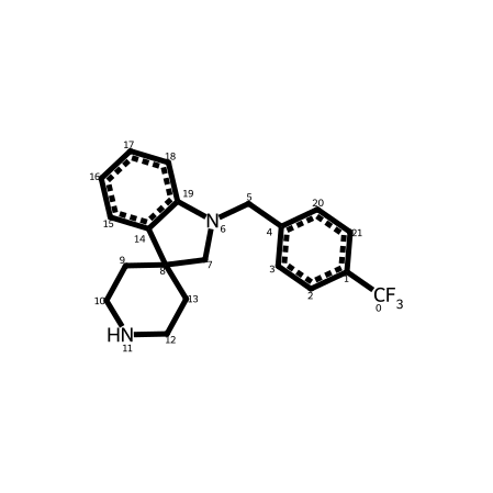 FC(F)(F)c1ccc(CN2CC3(CCNCC3)c3ccccc32)cc1